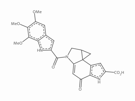 COc1cc2cc(C(=O)N3CC4CC45C3=CC(=O)c3[nH]c(C(=O)O)cc35)[nH]c2c(OC)c1OC